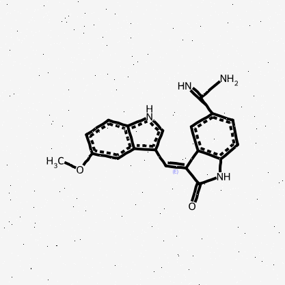 COc1ccc2[nH]cc(/C=C3/C(=O)Nc4ccc(C(=N)N)cc43)c2c1